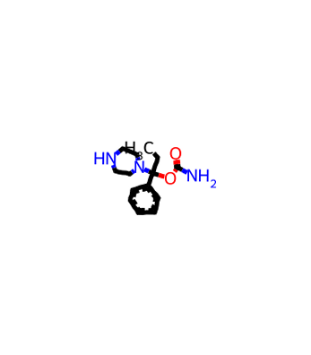 CCC(OC(N)=O)(c1ccccc1)N1CCNCC1